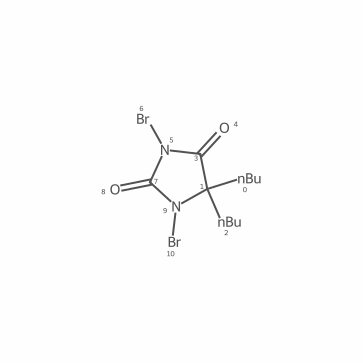 CCCCC1(CCCC)C(=O)N(Br)C(=O)N1Br